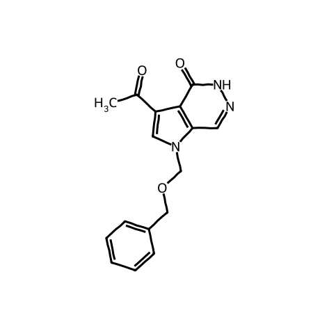 CC(=O)c1cn(COCc2ccccc2)c2cn[nH]c(=O)c12